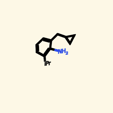 CC(C)c1cccc(CC2CC2)c1N